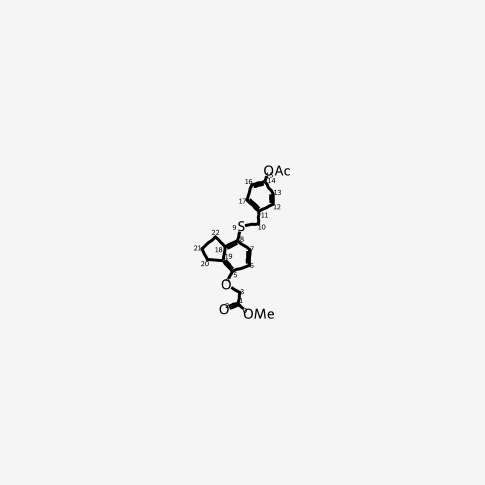 COC(=O)COc1ccc(SCc2ccc(OC(C)=O)cc2)c2c1CCC2